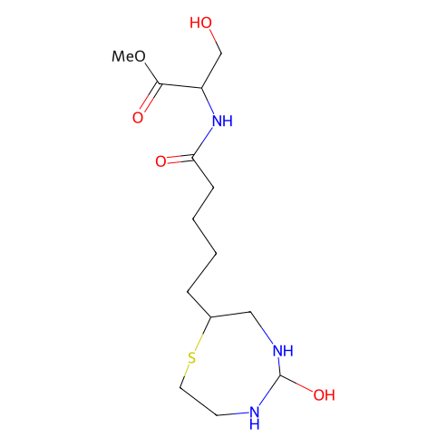 COC(=O)C(CO)NC(=O)CCCCC1CNC(O)NCCS1